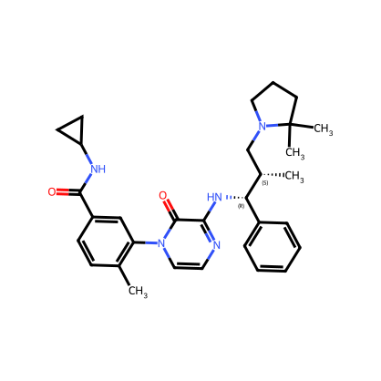 Cc1ccc(C(=O)NC2CC2)cc1-n1ccnc(N[C@@H](c2ccccc2)[C@@H](C)CN2CCCC2(C)C)c1=O